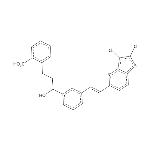 O=C(O)c1ccccc1CCC(O)c1cccc(C=Cc2ccc3sc(Cl)c(Cl)c3n2)c1